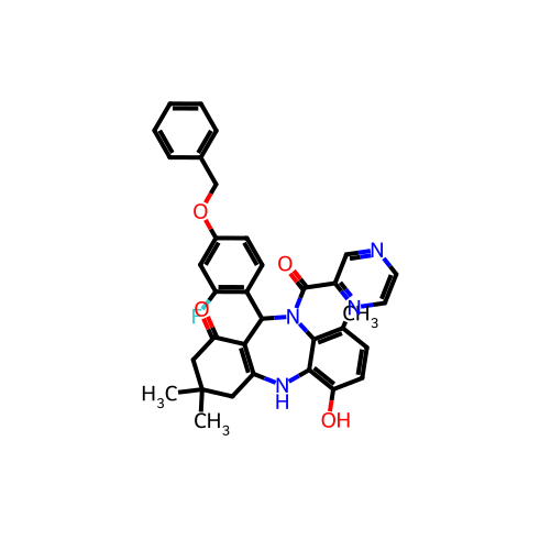 Cc1ccc(O)c2c1N(C(=O)c1cnccn1)C(c1ccc(OCc3ccccc3)cc1F)C1=C(CC(C)(C)CC1=O)N2